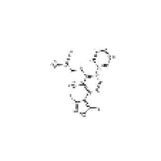 Cc1noc(C)c1-c1ccc(-c2ccccc2)c(CCC(N)=O)c1O